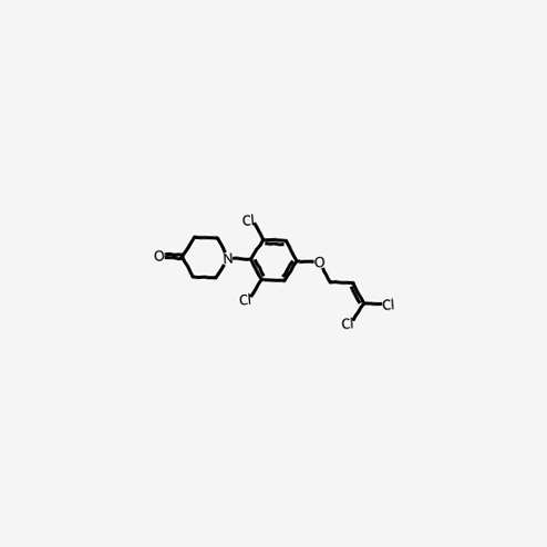 O=C1CCN(c2c(Cl)cc(OCC=C(Cl)Cl)cc2Cl)CC1